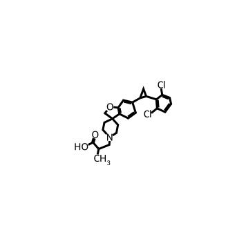 CC(CN1CCC2(CC1)COc1cc(C3CC3c3c(Cl)cccc3Cl)ccc12)C(=O)O